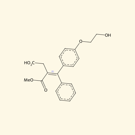 COC(=O)/C(CC(=O)O)=C(\c1ccccc1)c1ccc(OCCO)cc1